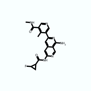 CNC(=O)c1cncc(-c2cc3cc(NC(=O)C4CC4F)ncc3c(N)n2)c1C